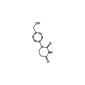 O=C1CCN(c2ccc(CO)cc2)C(=O)N1